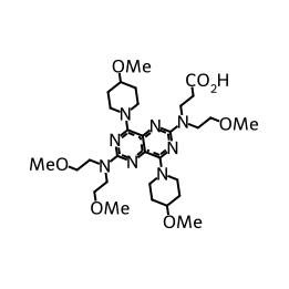 COCCN(CCOC)c1nc(N2CCC(OC)CC2)c2nc(N(CCOC)CCC(=O)O)nc(N3CCC(OC)CC3)c2n1